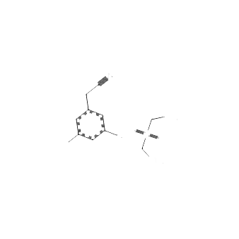 CCS(=O)(=O)CC.N#CCc1cc(Br)cc(Br)c1